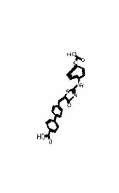 O=C(O)Cc1ccc(NC2=NC(=O)/C(=C\c3ccc(-c4ccc(C(=O)O)cc4)cc3)S2)cc1